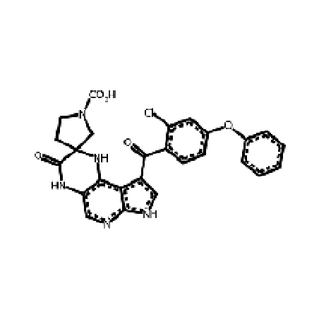 O=C(c1ccc(Oc2ccccc2)cc1Cl)c1c[nH]c2ncc3c(c12)NC1(CCN(C(=O)O)C1)C(=O)N3